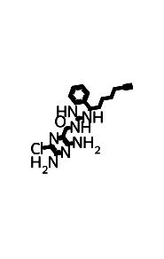 C#CCCCCC(NC(=N)NC(=O)c1nc(Cl)c(N)nc1N)c1ccccc1